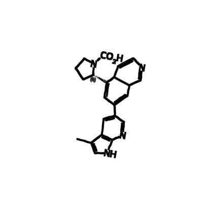 Cc1c[nH]c2ncc(C3=CC4C=NC=CC4C([C@@H]4CCCN4C(=O)O)=C3)cc12